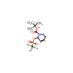 CC(C)(C)OC(=O)N1CCC=CC1OS(=O)(=O)C(F)(F)F